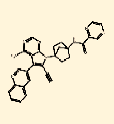 C#Cc1c(-c2cnc3ccccc3c2)c2c(N)ncnc2n1C12CCC(NC(=O)c3cnccn3)(CC1)C2